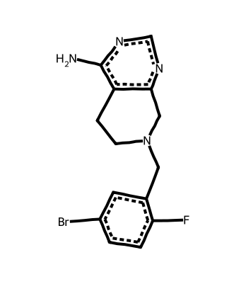 Nc1ncnc2c1CCN(Cc1cc(Br)ccc1F)C2